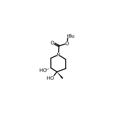 CC(C)(C)OC(=O)N1CC[C@](C)(O)[C@H](O)C1